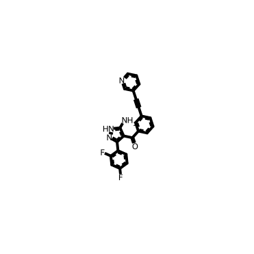 Nc1[nH]nc(-c2ccc(F)cc2F)c1C(=O)c1cccc(C#Cc2cccnc2)c1